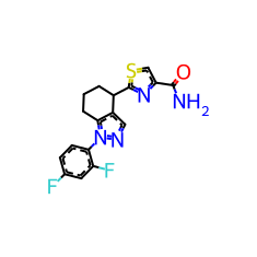 NC(=O)c1csc(C2CCCc3c2cnn3-c2ccc(F)cc2F)n1